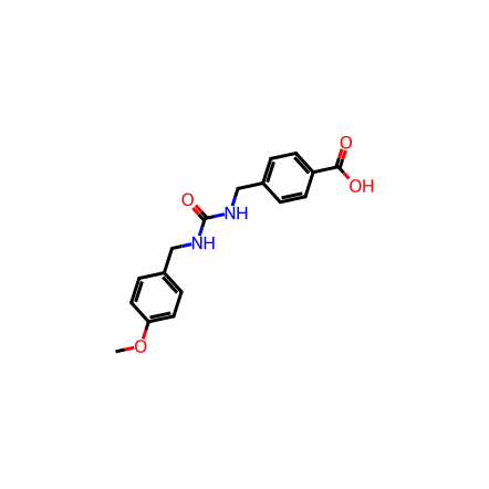 COc1ccc(CNC(=O)NCc2ccc(C(=O)O)cc2)cc1